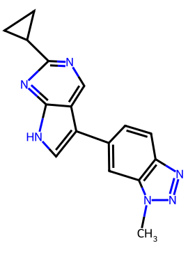 Cn1nnc2ccc(-c3c[nH]c4nc(C5CC5)ncc34)cc21